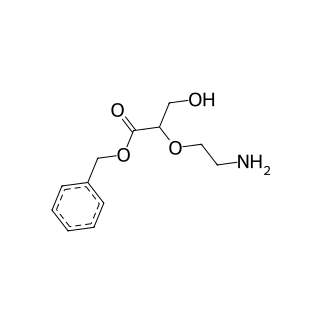 NCCOC(CO)C(=O)OCc1ccccc1